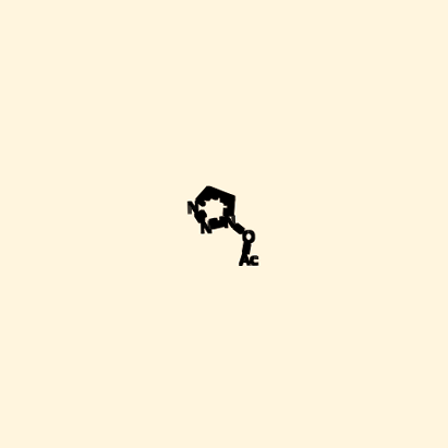 CC(=O)On1ccnn1